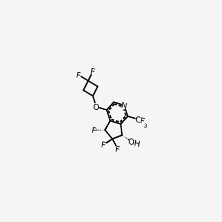 O[C@H]1c2c(C(F)(F)F)ncc(OC3CC(F)(F)C3)c2[C@@H](F)C1(F)F